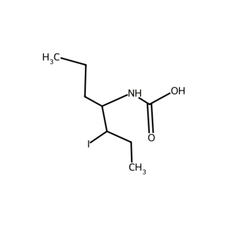 CCCC(NC(=O)O)C(I)CC